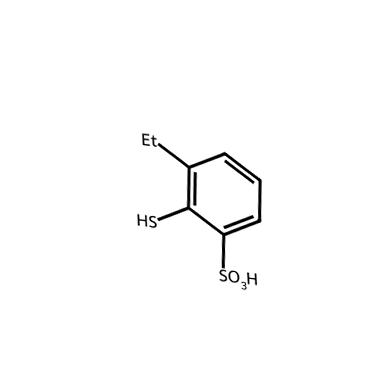 CCc1cccc(S(=O)(=O)O)c1S